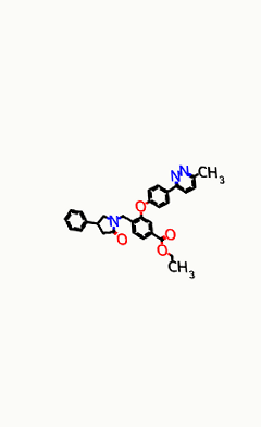 CCOC(=O)c1ccc(CN2CC(c3ccccc3)CC2=O)c(Oc2ccc(-c3ccc(C)nn3)cc2)c1